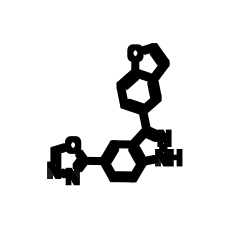 c1nnc(-c2ccc3[nH]nc(-c4ccc5occc5c4)c3c2)o1